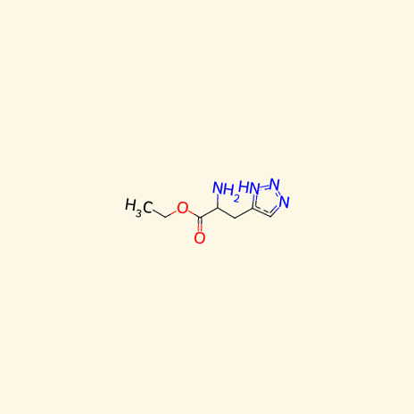 CCOC(=O)C(N)Cc1cnn[nH]1